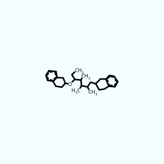 CCC(OC1CCc2ccccc2C1)C(C)C(C)C(C)CC1CCc2ccccc2C1